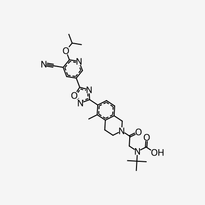 Cc1c(-c2noc(-c3cnc(OC(C)C)c(C#N)c3)n2)ccc2c1CCN(C(=O)CN(C(=O)O)C(C)(C)C)C2